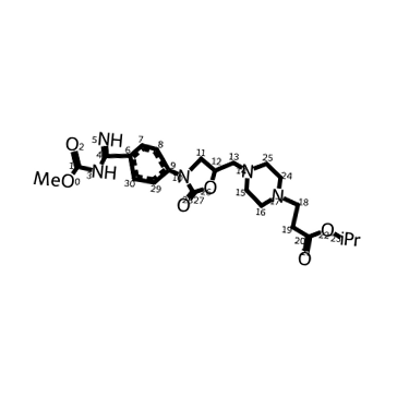 COC(=O)NC(=N)c1ccc(N2CC(CN3CCN(CCC(=O)OC(C)C)CC3)OC2=O)cc1